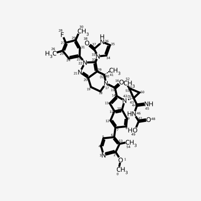 COc1nccc(-c2ccc3c(c2)cc(C(=O)N2CCc4nn(-c5cc(C)c(F)c(C)c5)c(-n5cc[nH]c5=O)c4[C@@H]2C)n3[C@@]2(C(=N)NC(=O)O)C[C@@H]2C)c1C